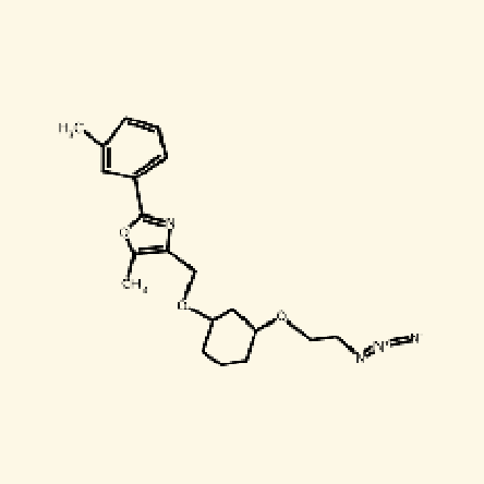 Cc1cccc(-c2nc(COC3CCCC(OCCN=[N+]=[N-])C3)c(C)o2)c1